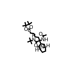 CC(=O)NC(CCCCB1OC(C)(C)C(C)(C)O1)(C(=O)NC(C)(C)C)C1C[C@H]2CC[C@@H](C1)N2